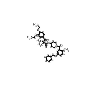 CCOc1ccc(C2=NN(C3CCN(C(=O)c4cc(OCc5ccccc5)ccc4C)CC3)C(=O)C2(C)C)cc1OCC